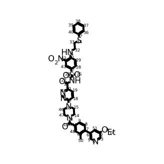 CCOc1cncc(-c2ccc(C(=O)N3CCN(c4ccc(C(=O)NS(=O)(=O)c5ccc(NCCSc6ccccc6)c([N+](=O)[O-])c5)nn4)CC3)cc2C)c1